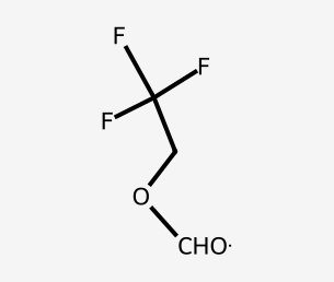 O=[C]OCC(F)(F)F